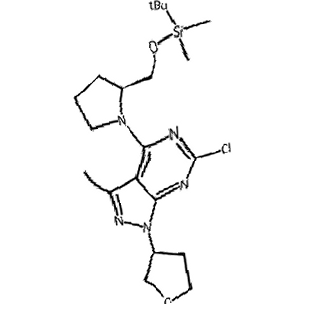 Cc1nn(C2CCOC2)c2nc(Cl)nc(N3CCC[C@H]3CO[Si](C)(C)C(C)(C)C)c12